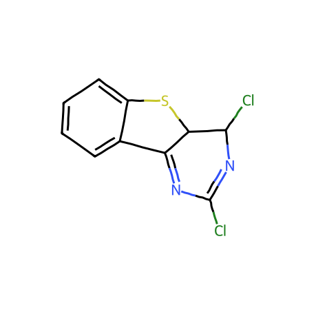 ClC1=NC(Cl)C2Sc3ccccc3C2=N1